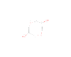 O[C@H]1COC[C@@H](O)COC1